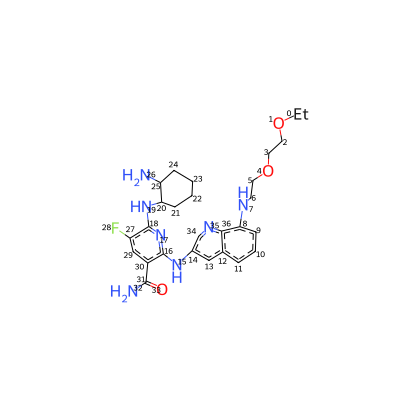 CCOCCOCCNc1cccc2cc(Nc3nc(NC4CCCCC4N)c(F)cc3C(N)=O)cnc12